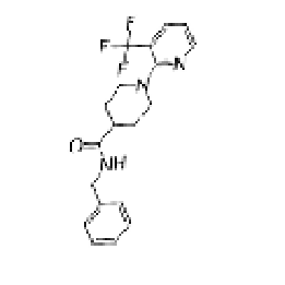 O=C(NCc1ccccc1)C1CCN(c2ncccc2C(F)(F)F)CC1